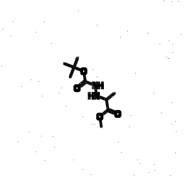 COC(=O)C(C)NNC(=O)OC(C)(C)C